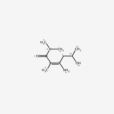 CC(C(=O)N(C)C)=C(N)CC(C)O